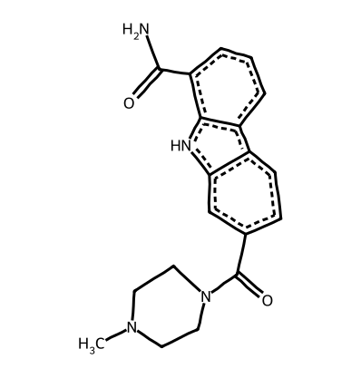 CN1CCN(C(=O)c2ccc3c(c2)[nH]c2c(C(N)=O)cccc23)CC1